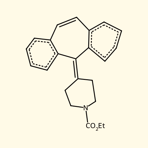 CCOC(=O)N1CCC(=C2c3ccccc3C=Cc3ccccc32)CC1